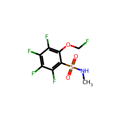 CNS(=O)(=O)c1c(F)c(F)c(F)c(F)c1OCF